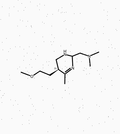 COCC[C@H]1CNC(CN(C)C)N=C1C